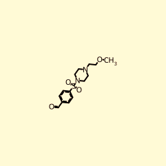 COCCN1CCN(S(=O)(=O)c2ccc(C=O)cc2)CC1